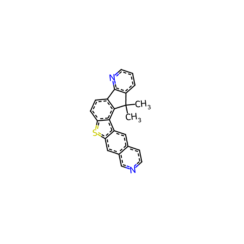 CC1(C)c2cccnc2-c2ccc3sc4cc5cnccc5cc4c3c21